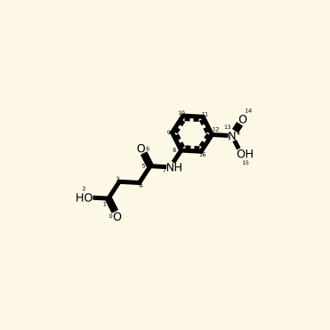 O=C(O)CCC(=O)Nc1cccc([N+](=O)O)c1